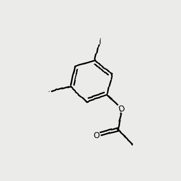 [CH2]c1cc(I)cc(OC(C)=O)c1